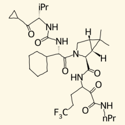 CCCNC(=O)C(=O)C(CCC(F)(F)F)NC(=O)[C@@H]1[C@@H]2[C@H](CN1C(=O)[C@@H](NC(=O)N[C@H](C(=O)C1CC1)C(C)C)C1CCCCC1)C2(C)C